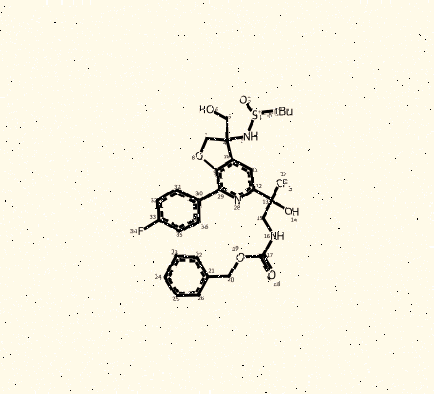 CC(C)(C)[S+]([O-])NC1(CO)COc2c1cc(C(O)(CNC(=O)OCc1ccccc1)C(F)(F)F)nc2-c1ccc(F)cc1